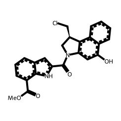 COC(=O)c1cccc2cc(C(=O)N3C[C@@H](CCl)c4c3cc(O)c3ccccc43)[nH]c12